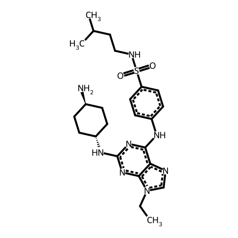 CCn1cnc2c(Nc3ccc(S(=O)(=O)NCCC(C)C)cc3)nc(N[C@H]3CC[C@H](N)CC3)nc21